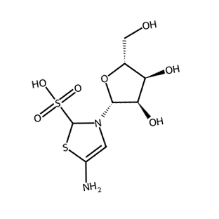 NC1=CN([C@@H]2O[C@H](CO)[C@@H](O)[C@H]2O)C(S(=O)(=O)O)S1